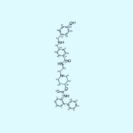 O=C(Nc1ccccc1-c1ccccc1)OC1CCN(CCNC(=O)c2ccc(CNCc3ccc(O)cc3)cc2)CC1